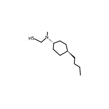 CCCC[C@H]1CC[C@H](N(C)CS)CC1